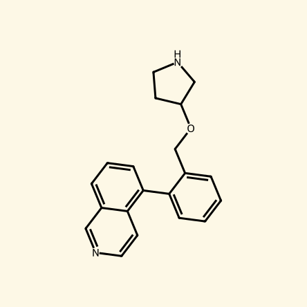 c1ccc(-c2cccc3cnccc23)c(COC2CCNC2)c1